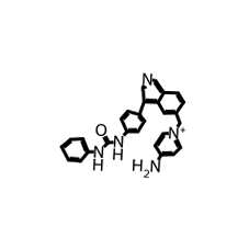 Nc1cc[n+](Cc2ccc3cncc(-c4ccc(NC(=O)Nc5ccccc5)cc4)c3c2)cc1